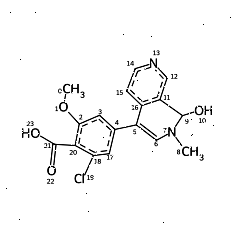 COc1cc(C2=CN(C)C(O)c3cnccc32)cc(Cl)c1C(=O)O